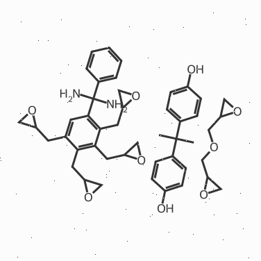 C(OCC1CO1)C1CO1.CC(C)(c1ccc(O)cc1)c1ccc(O)cc1.NC(N)(c1ccccc1)c1cc(CC2CO2)c(CC2CO2)c(CC2CO2)c1CC1CO1